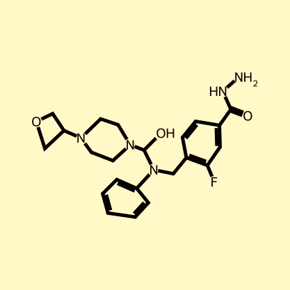 NNC(=O)c1ccc(CN(c2ccccc2)C(O)N2CCN(C3COC3)CC2)c(F)c1